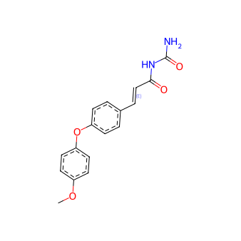 COc1ccc(Oc2ccc(/C=C/C(=O)NC(N)=O)cc2)cc1